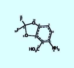 Nc1ccc2c(c1C(=O)O)OC(F)(F)O2